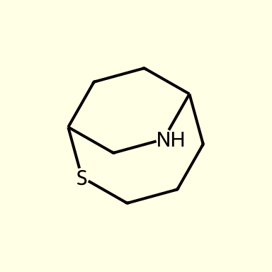 C1CSC2CCC(C1)NC2